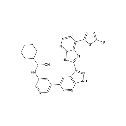 OC(Nc1cncc(-c2cnc3[nH]nc(-c4nc5c(-c6ccc(F)s6)ccnc5[nH]4)c3c2)c1)C1CCCCC1